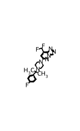 CC(C)(c1ccc(F)cc1)N1CCN(c2cc(C(F)F)c3nncn3n2)CC1